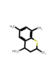 Cc1cc(C)c2c(c1)C(C(=O)O)CC(C(F)(F)F)S2